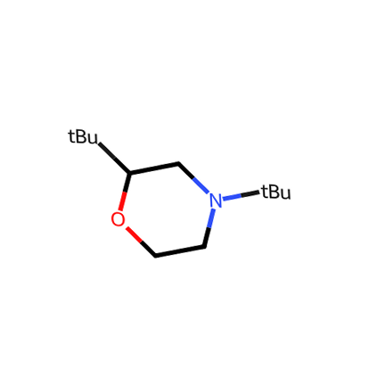 CC(C)(C)C1CN(C(C)(C)C)CCO1